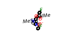 CNC(=O)c1c(-c2ccc(F)cc2)oc2cc(N(C)SC)c([C@@H]3CCCN([S+]([O-])c4ccccc4F)C3)cc12